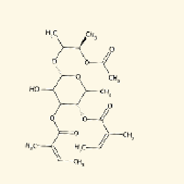 C/C=C(/C)C(=O)OC1C(O)[C@H](OC(C)[C@@H](C)OC(C)=O)OC(C)[C@@H]1OC(=O)/C(C)=C\C